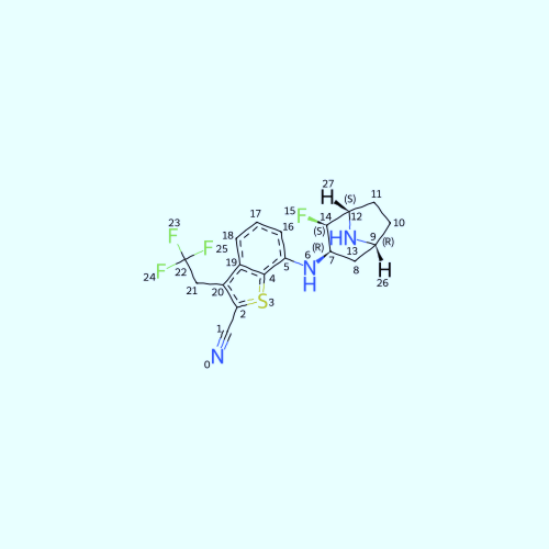 N#Cc1sc2c(N[C@@H]3C[C@H]4CC[C@H](N4)[C@@H]3F)cccc2c1CC(F)(F)F